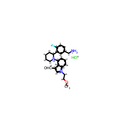 Cl.NCc1ccc(F)c(C2CCCCN2c2cccc3c2c(C=O)cn3CCOC(F)(F)F)c1